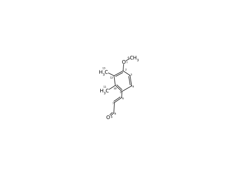 COc1ccc(C=CC=O)c(C)c1C